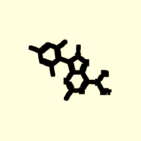 CCCN(CC)c1nc(C)nc2c(-c3c(C)cc(C)cc3C)n(C)nc12